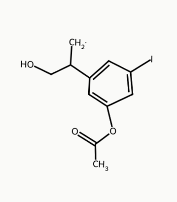 [CH2]C(CO)c1cc(I)cc(OC(C)=O)c1